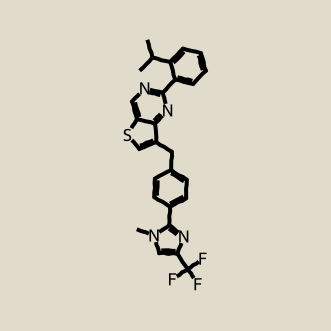 CC(C)c1ccccc1-c1ncc2scc(Cc3ccc(-c4nc(C(F)(F)F)cn4C)cc3)c2n1